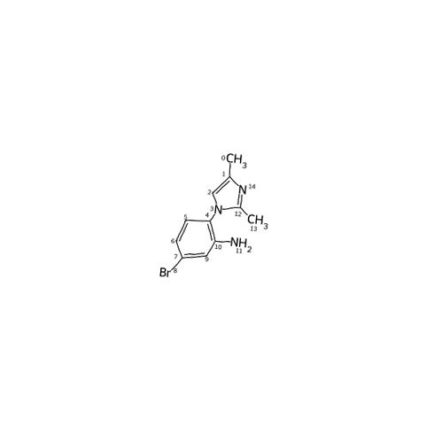 Cc1cn(-c2ccc(Br)cc2N)c(C)n1